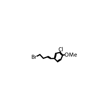 COc1ccc(/C=C/CCBr)cc1Cl